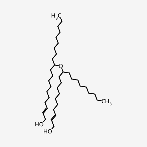 CCCCCCCCCC(CCCCCCCC=CCO)OC(CCCCCCCC=CCO)CCCCCCCCC